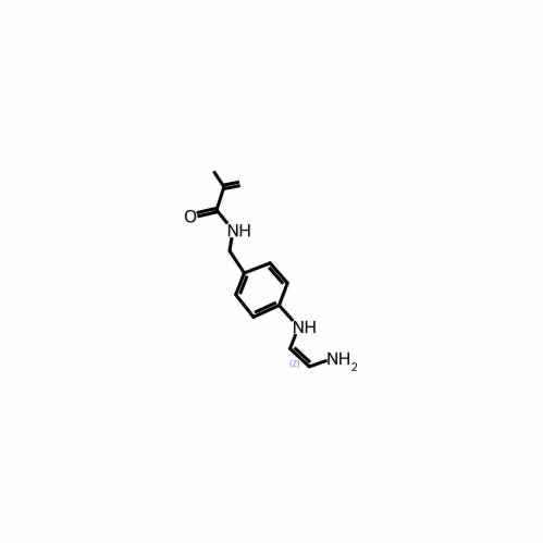 C=C(C)C(=O)NCc1ccc(N/C=C\N)cc1